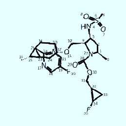 C[C@@H]1C[C@H](NS(C)(=O)=O)[C@H](CO[C@H]2CC[C@]3(c4ncc(F)cn4)C(C2)[C@@H]3C)N1C(=O)OC[C@H]1C[C@H]1F